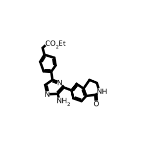 CCOC(=O)Cc1ccc(-c2cnc(N)c(-c3ccc4c(c3)CCNC4=O)n2)cc1